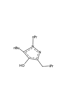 CCCCc1c(O)c(CC(C)C)nn1CCC